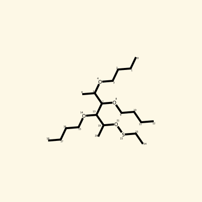 CCCCOC(C)C(OCCCC)C(OCCCC)C(C)OSCC